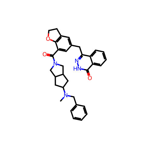 CN(Cc1ccccc1)C1CC2CN(C(=O)c3cc(Cc4n[nH]c(=O)c5ccccc45)cc4c3OCC4)CC2C1